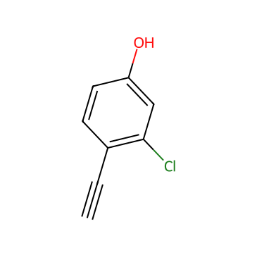 C#Cc1ccc(O)cc1Cl